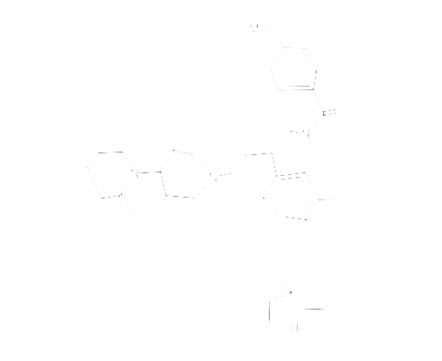 COc1ccc(C(=O)N(C)C[C@@H](CCN2CCC(N3CCCCC3=O)CC2)c2ccc(Cl)c(Cl)c2)cc1.O=C(O)CC(O)(CC(=O)O)C(=O)O